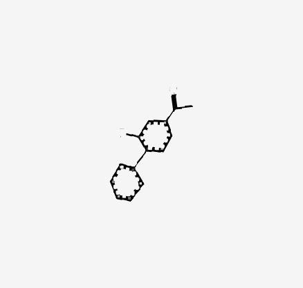 CC(=O)c1ccc(-c2ccccc2)c(F)c1